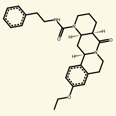 CCOc1ccc2c(c1)CCN1C(=O)[C@@H]3CCCN(C(=O)NCCc4ccccc4)[C@@H]3C[C@H]21